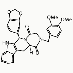 COc1ccc(CN2CC(=O)N3[C@H](c4ccc5c(c4)OCO5)c4[nH]c5ccccc5c4C[C@@H]3C2=O)cc1OC